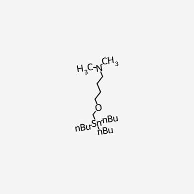 CCC[CH2][Sn]([CH2]CCC)([CH2]CCC)[CH2]OCCCCN(C)C